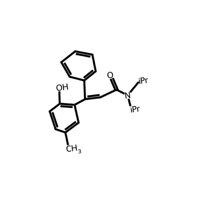 Cc1ccc(O)c(C(=CC(=O)N(C(C)C)C(C)C)c2ccccc2)c1